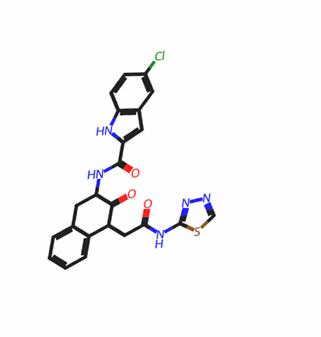 O=C(CC1C(=O)C(NC(=O)c2cc3cc(Cl)ccc3[nH]2)Cc2ccccc21)Nc1nncs1